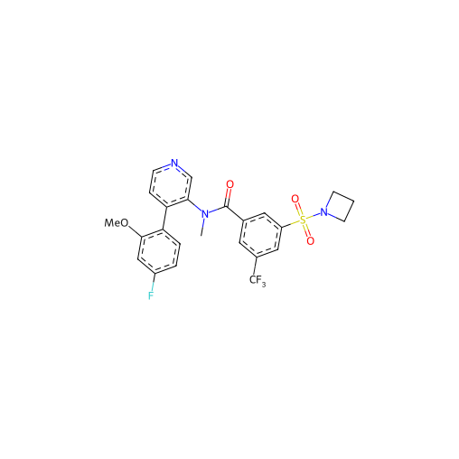 COc1cc(F)ccc1-c1ccncc1N(C)C(=O)c1cc(C(F)(F)F)cc(S(=O)(=O)N2CCC2)c1